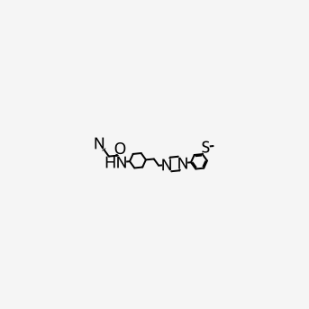 CSc1cccc(N2CCN(CCC3CCC(NC(=O)CC#N)CC3)CC2)c1